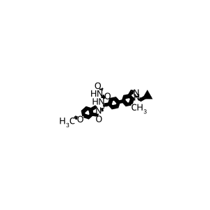 CCOc1ccc2c(c1)C(=O)N(C[C@H](NC(=O)NC=O)c1ccc(-c3cc(C)c4c(cnn4CC4CC4)c3)cc1)C2